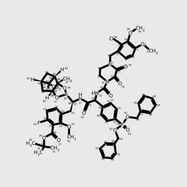 COc1ccc(CN2CCN(C(=O)NC(C(=O)N[C@@H](Cc3ccc(F)c(C(=O)OC(C)(C)C)c3OC)B3O[C@@H]4C[C@@H]5C[C@@H](C5(C)C)[C@]4(C)O3)c3ccc(P(=O)(OCc4ccccc4)OCc4ccccc4)cc3)C(=O)C2=O)c(Cl)c1OC